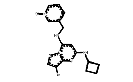 [O-][n+]1cccc(CNc2cc(NC3CCC3)nc3c(Br)cnn23)c1